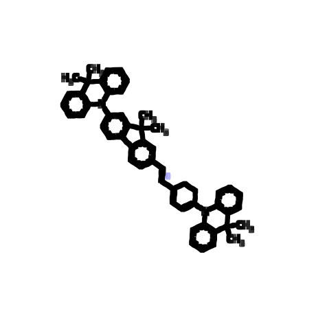 CC1(C)c2cc(/C=C/C3=CC=C(N4c5ccccc5C(C)(C)c5ccccc54)CC3)ccc2-c2ccc(N3c4ccccc4C(C)(C)c4ccccc43)cc21